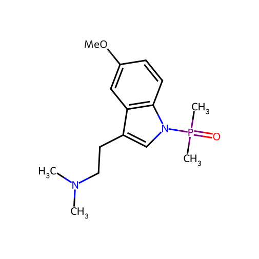 COc1ccc2c(c1)c(CCN(C)C)cn2P(C)(C)=O